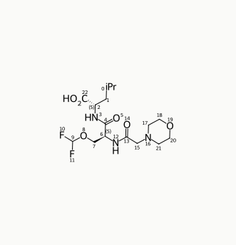 CC(C)C[C@H](NC(=O)[C@H](COC(F)F)NC(=O)CN1CCOCC1)C(=O)O